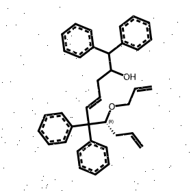 C=CCO[C@H](CC=C)C(C=CCC(O)C(c1ccccc1)c1ccccc1)(c1ccccc1)c1ccccc1